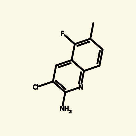 Cc1ccc2nc(N)c(Cl)cc2c1F